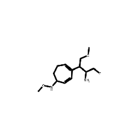 COCC(C1=CCCC(NOC)C=C1)C(N)CF